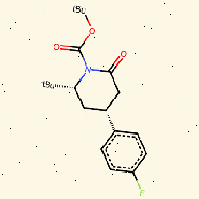 CC(C)(C)OC(=O)N1C(=O)C[C@H](c2ccc(F)cc2)C[C@@H]1C(C)(C)C